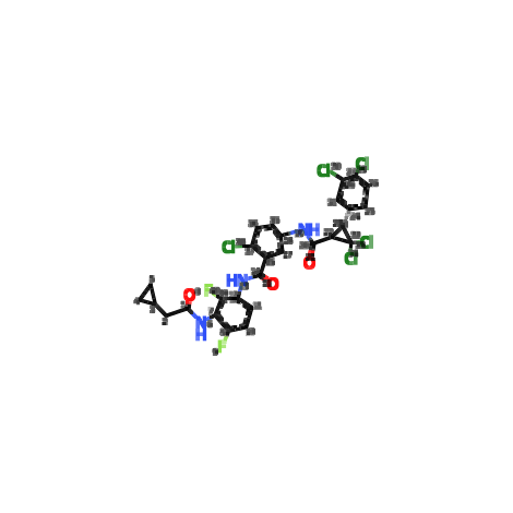 O=C(CC1CC1)Nc1c(F)ccc(NC(=O)c2cc(NC(=O)C3[C@H](c4ccc(Cl)c(Cl)c4)C3(Cl)Cl)ccc2Cl)c1F